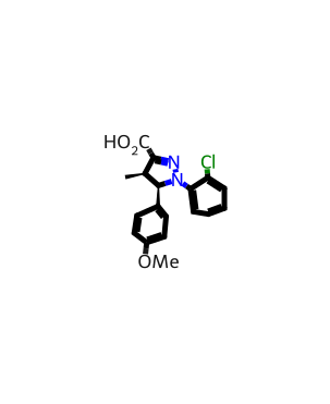 COc1ccc([C@H]2[C@@H](C)C(C(=O)O)=NN2c2ccccc2Cl)cc1